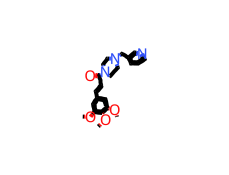 COc1cc(C=CC(=O)N2CCN(Cc3cccnc3)CC2)cc(OC)c1OC